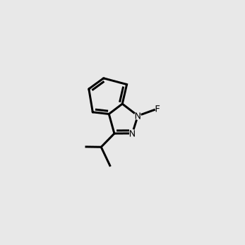 CC(C)c1nn(F)c2ccccc12